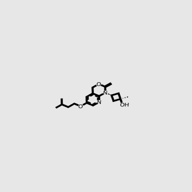 C=C1OCc2cc(OCCC(C)C)cnc2N1[C@H]1C[C@](C)(O)C1